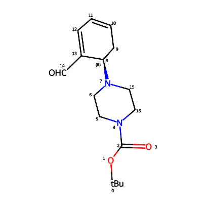 CC(C)(C)OC(=O)N1CCN([C@@H]2CC=CC=C2C=O)CC1